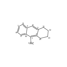 CC(=O)c1c2c(cc3ccccc13)CCCC2